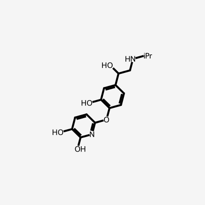 CC(C)NCC(O)c1ccc(Oc2ccc(O)c(O)n2)c(O)c1